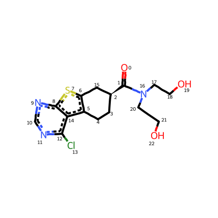 O=C([C@H]1CCc2c(sc3ncnc(Cl)c23)C1)N(CCO)CCO